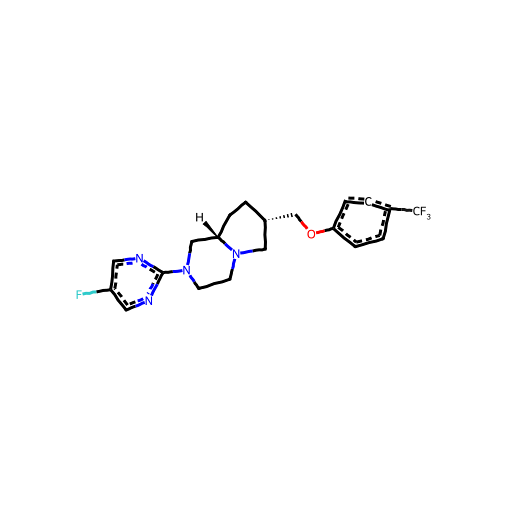 Fc1cnc(N2CCN3C[C@@H](COc4ccc(C(F)(F)F)cc4)CC[C@H]3C2)nc1